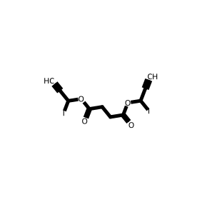 C#CC(I)OC(=O)CCC(=O)OC(I)C#C